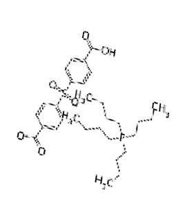 CCCC[P+](CCCC)(CCCC)CCCC.O=C([O-])c1ccc(S(=O)(=O)c2ccc(C(=O)O)cc2)cc1